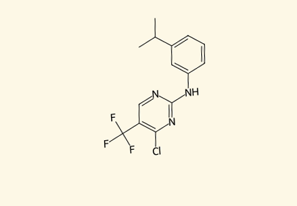 CC(C)c1cccc(Nc2ncc(C(F)(F)F)c(Cl)n2)c1